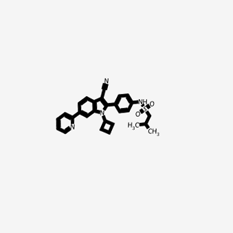 CC(C)CS(=O)(=O)Nc1ccc(-c2c(C#N)c3ccc(-c4ccccn4)cc3n2C2CCC2)cc1